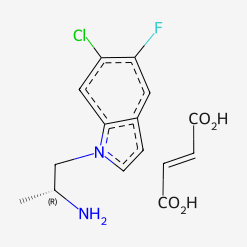 C[C@@H](N)Cn1ccc2cc(F)c(Cl)cc21.O=C(O)C=CC(=O)O